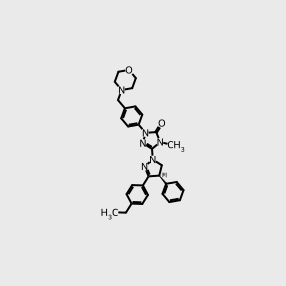 CCc1ccc(C2=NN(c3nn(-c4ccc(CN5CCOCC5)cc4)c(=O)n3C)C[C@H]2c2ccccc2)cc1